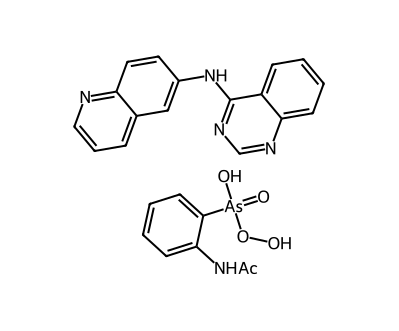 CC(=O)Nc1ccccc1[As](=O)(O)OO.c1cnc2ccc(Nc3ncnc4ccccc34)cc2c1